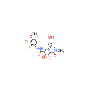 COc1ccc(CNC(=O)c2cn3c(c(O)c2=O)C(=O)N(C)C[C@]32C[C@@H](CO)C2)c(F)c1Cl